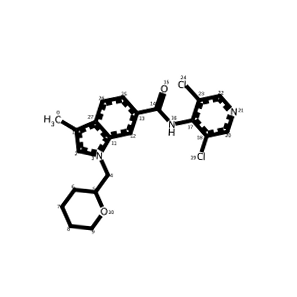 Cc1cn(CC2CCCCO2)c2cc(C(=O)Nc3c(Cl)cncc3Cl)ccc12